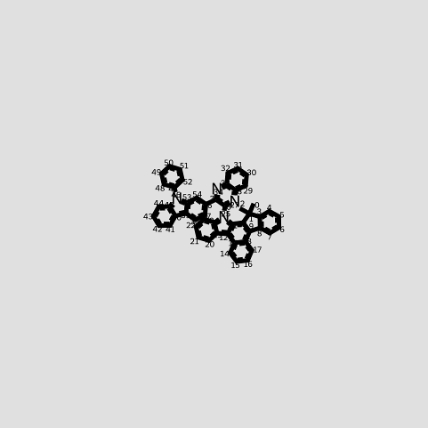 CC1(C)c2ccccc2-c2c1c1c(c3ccccc23)c2ccccc2n1-c1nc2ccccc2nc1-c1ccc2c3ccccc3n(-c3ccccc3)c2c1